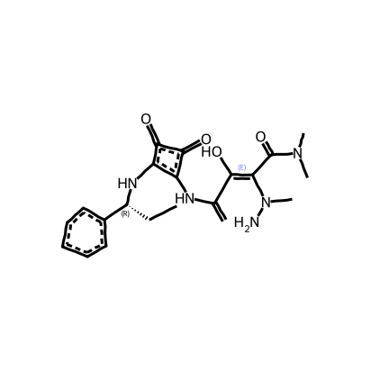 C=C(Nc1c(N[C@H](CC)c2ccccc2)c(=O)c1=O)/C(O)=C(/C(=O)N(C)C)N(C)N